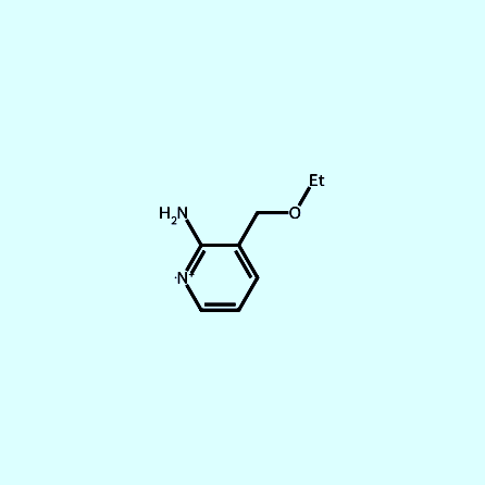 CCOCC1=CC=C[N+]=C1N